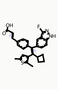 Cc1cc(/C(=C(\c2ccc(/C=C/C(=O)O)cc2)c2ccc3[nH]nc(F)c3c2)C2CCC2)c(C)s1